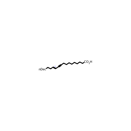 CCCCCCCCCCCC/C=C/C#CCCCCCCCCC(=O)O